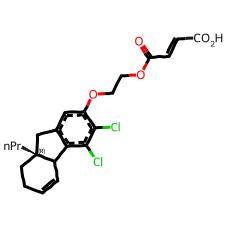 CCC[C@]12CCC=CC1c1c(cc(OCCOC(=O)C=CC(=O)O)c(Cl)c1Cl)C2